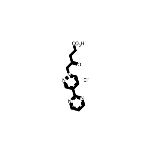 O=C(O)CCC(=O)C[n+]1ccc(-c2ncccn2)cn1.[Cl-]